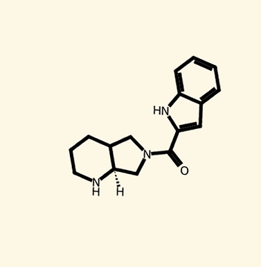 O=C(c1cc2ccccc2[nH]1)N1CC2CCCN[C@@H]2C1